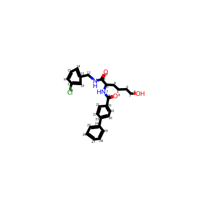 O=C(NC(CCCCO)C(=O)NCc1cccc(Cl)c1)c1ccc(-c2ccccc2)cc1